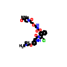 CNC(=O)C1CCN(C(=O)CCOCCNC(=O)Oc2cc3c(c4ccccc24)[C@H](CCl)CN3C(=O)c2cc3cc(OCCN(C)C)ccc3[nH]2)CC1